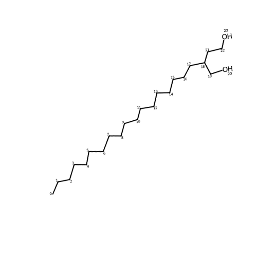 CCCCCCCCCCCCCCCCCCC(CO)CCO